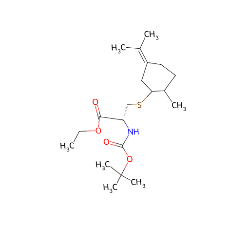 CCOC(=O)[C@H](CSC1CC(=C(C)C)CCC1C)NC(=O)OC(C)(C)C